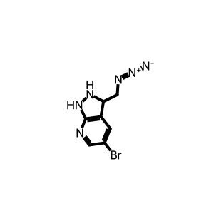 [N-]=[N+]=NCC1NNc2ncc(Br)cc21